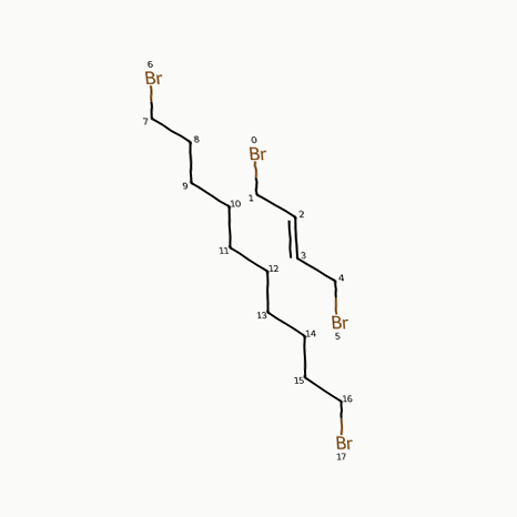 BrCC=CCBr.BrCCCCCCCCCCBr